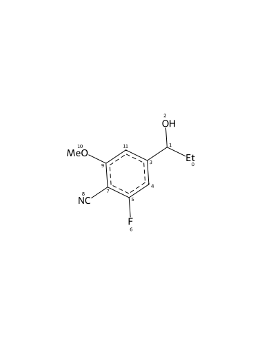 CCC(O)c1cc(F)c(C#N)c(OC)c1